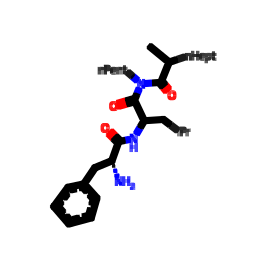 CCCCCCCC(C)C(=O)N(CCCCC)C(=O)C(CC(C)C)NC(=O)[C@H](N)Cc1ccccc1